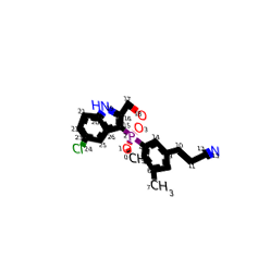 COP(=O)(c1cc(C)cc(/C=C/C#N)c1)c1c(C=O)[nH]c2ccc(Cl)cc12